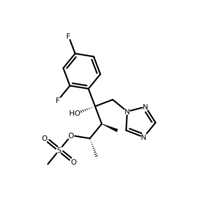 C[C@H](OS(C)(=O)=O)[C@H](C)[C@](O)(Cn1cncn1)c1ccc(F)cc1F